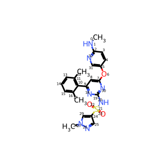 CNc1ccc(Oc2cc(-c3c(C)cccc3C)nc(NS(=O)(=O)c3cnn(C)c3)n2)cn1